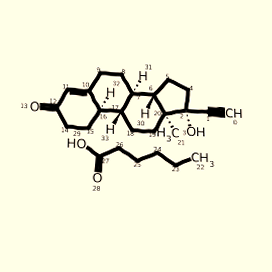 C#C[C@]1(O)CC[C@H]2[C@@H]3CCC4=CC(=O)CC[C@@H]4[C@H]3CC[C@@]21C.CCCCCC(=O)O